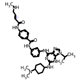 CNC/C=C/C(=O)Nc1ccc(C(=O)Nc2cccc(Nc3nc(NC4CCC(N(C)C)CC4)nc4c3ncn4C(C)C)c2)cc1